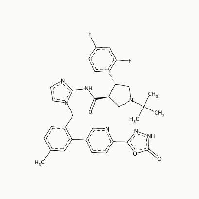 Cc1ccc(Cn2ccnc2NC(=O)[C@@H]2CN(C(C)(C)C)C[C@H]2c2ccc(F)cc2F)c(-c2ccc(-c3n[nH]c(=O)o3)nc2)c1